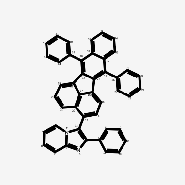 c1ccc(-c2nc3ccccn3c2-c2ccc3c4c(cccc24)-c2c-3c(-c3ccccc3)c3ccccc3c2-c2ccccc2)cc1